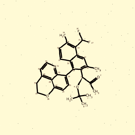 CC(=O)[C@@H](OC(C)(C)C)c1c(C)cc2c(C(F)F)c(C)ccc2c1-c1ccc2c3c(ccnc13)CCO2